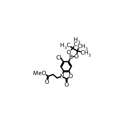 COC(=O)CCn1c(=O)oc2cc(B3OC(C)(C)C(C)(C)O3)c(Cl)cc21